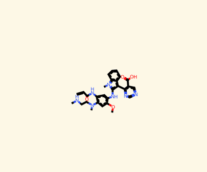 C=CC(=O)Nc1cc(Nc2c(-c3ncncc3C(=O)O)c3ccccc3n2C)c(OC)cc1N(C)CCNC